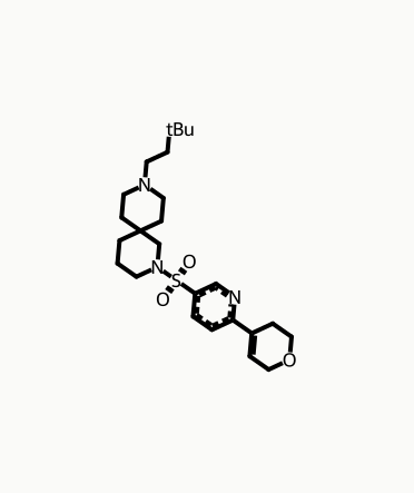 CC(C)(C)CCN1CCC2(CCCN(S(=O)(=O)c3ccc(C4=CCOCC4)nc3)C2)CC1